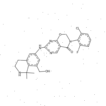 CC1(C)NCCc2cc(Nc3ncc4c(n3)OCN(c3c(F)cccc3Cl)C4=O)cc(CO)c21